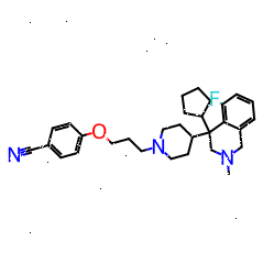 CN1Cc2cccc(F)c2C(C2CCCC2)(C2CCN(CCCOc3ccc(C#N)cc3)CC2)C1